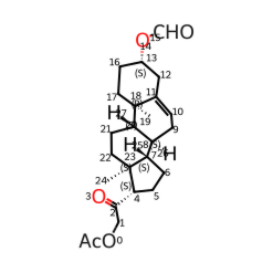 CC(=O)OCC(=O)[C@H]1CC[C@H]2[C@@H]3CC=C4C[C@@H](OC=O)CC[C@]4(C)[C@H]3CC[C@]12C